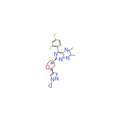 Cc1nc2nc([C@@H]3CCO[C@H](c4cnn(C5CC5)c4)C3)nc(-c3ccc(F)cc3F)c2nc1C